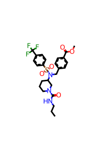 CCCNC(=O)N1CCCC(N(Cc2ccc(C(=O)OC)cc2)S(=O)(=O)c2ccc(C(F)(F)F)cc2)C1